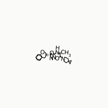 C[C@H](Nc1nnc([C@H]2COc3ccccc3C2)o1)C(=O)N1CCC2(CC1)CC2